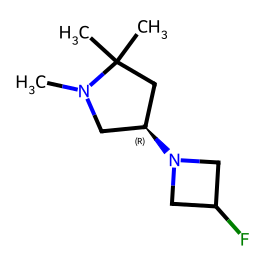 CN1C[C@H](N2CC(F)C2)CC1(C)C